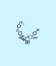 CS(=O)(=O)N(C[C@@H](C(=O)NO)N1CCC(O)(c2ccc(Br)cc2)CC1)c1ccc(Oc2ccc(C(F)(F)F)cc2)cc1